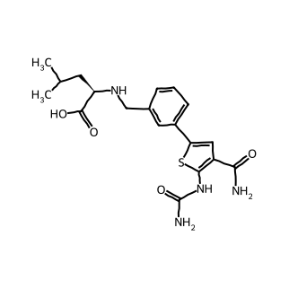 CC(C)C[C@@H](NCc1cccc(-c2cc(C(N)=O)c(NC(N)=O)s2)c1)C(=O)O